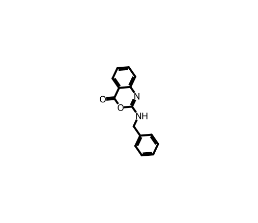 O=c1oc(NCc2ccccc2)nc2ccccc12